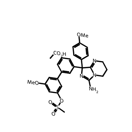 CC(=O)O.COc1ccc(C2(c3cccc(-c4cc(OC)cc(OS(C)(=O)=O)c4)c3)N=C(N)N3CCCN=C32)cc1